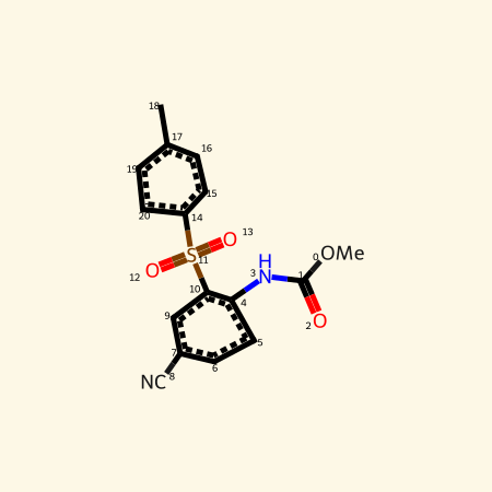 COC(=O)Nc1ccc(C#N)cc1S(=O)(=O)c1ccc(C)cc1